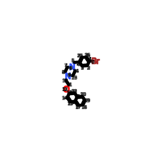 Brc1ccc(CN2CCN(CCOc3ccc4ccccc4c3)CC2)cc1